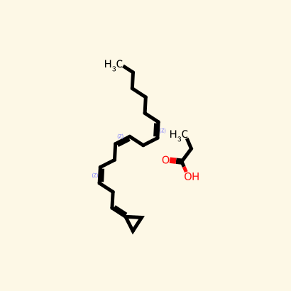 CCC(=O)O.CCCCC/C=C\C/C=C\C/C=C\CC=C1CC1